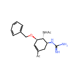 CC(=O)N[C@@H]1[C@@H](NC(=N)N)CC(C(C)=O)=C[C@H]1OCc1ccccc1